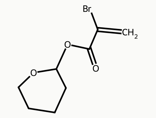 C=C(Br)C(=O)OC1CCCCO1